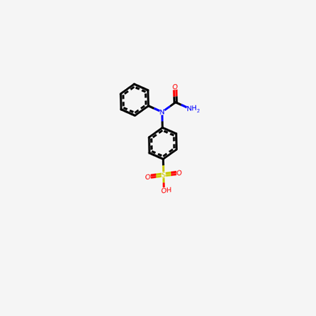 NC(=O)N(c1ccccc1)c1ccc(S(=O)(=O)O)cc1